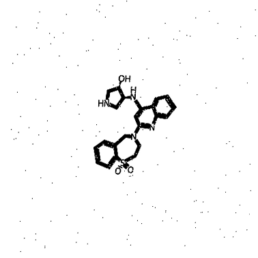 O=S1(=O)CCN(c2cc(N[C@H]3CNC[C@@H]3O)c3ccccc3n2)Cc2ccccc21